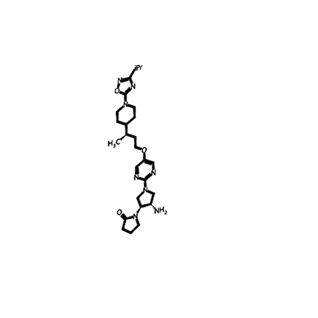 CC(C)c1noc(N2CCC([C@H](C)CCOc3cnc(N4C[C@H](N)[C@@H](N5CCCC5=O)C4)nc3)CC2)n1